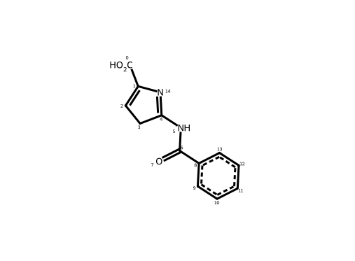 O=C(O)C1=CCC(NC(=O)c2ccccc2)=N1